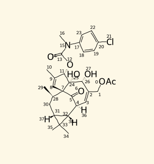 CC(=O)OCC1=C[C@@H]2C(=O)[C@]3(C=C(C)[C@H](OC(=O)N(C)c4ccc(Cl)cc4)[C@@]3(O)[C@@H]1O)[C@H](C)C[C@@H]1[C@H]2C1(C)C